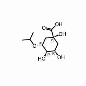 CC(C)O[C@@H]1C[C@](O)(C(=O)O)C[C@@H](O)[C@H]1O